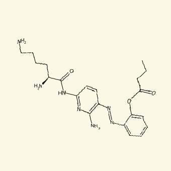 CCCC(=O)Oc1ccccc1/N=N/c1ccc(NC(=O)[C@@H](N)CCCCN)nc1N